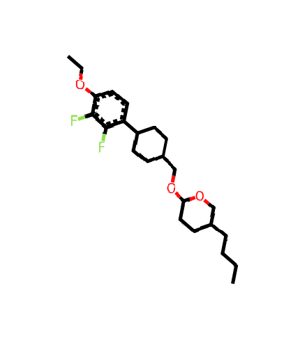 CCCCC1CCC(OCC2CCC(c3ccc(OCC)c(F)c3F)CC2)OC1